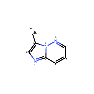 CCC(C)c1cnc2cccnn12